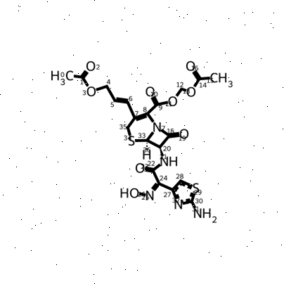 CC(=O)OC/C=C/C1=C(C(=O)OCOC(C)=O)N2C(=O)[C@@H](NC(=O)/C(=N\O)c3csc(N)n3)[C@H]2SC1